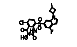 CC1CC(n2ccc3c(F)cc(S(=O)(=O)c4ccc(Cl)c5c(=O)n(O)c(=O)[nH]c45)cc32)C1